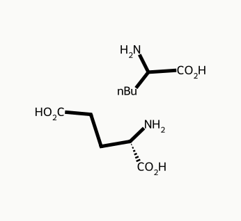 CCCCC(N)C(=O)O.N[C@@H](CCC(=O)O)C(=O)O